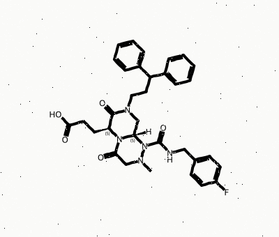 CN1CC(=O)N2[C@@H](CCC(=O)O)C(=O)N(CCC(c3ccccc3)c3ccccc3)C[C@@H]2N1C(=O)NCc1ccc(F)cc1